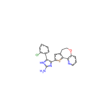 Nc1nc(-c2cc3c(s2)-c2ncccc2OCC3)c(-c2ccccc2Cl)[nH]1